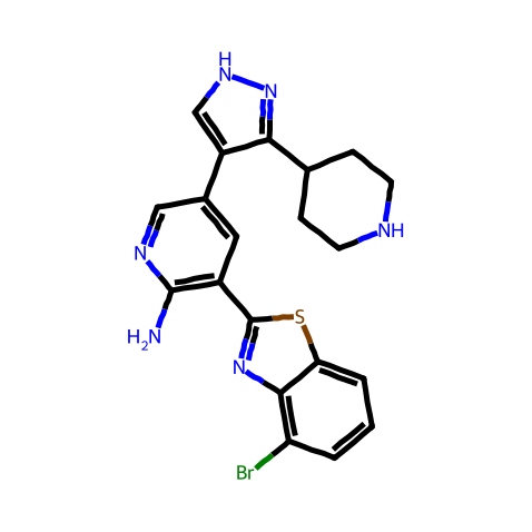 Nc1ncc(-c2c[nH]nc2C2CCNCC2)cc1-c1nc2c(Br)cccc2s1